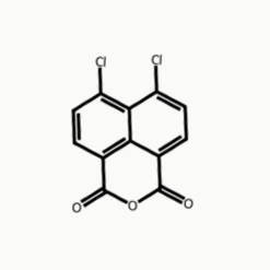 O=C1OC(=O)c2ccc(Cl)c3c(Cl)ccc1c23